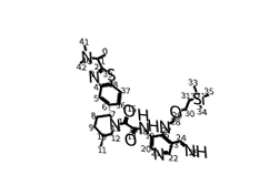 CC(c1nc2cc([C@H]3CC[C@H](C)CN3C(=O)C(=O)Nc3cncc(C=N)c3NCOCC[Si](C)(C)C)ccc2s1)N(C)C